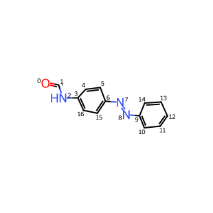 O=[C]Nc1ccc(/N=N/c2ccccc2)cc1